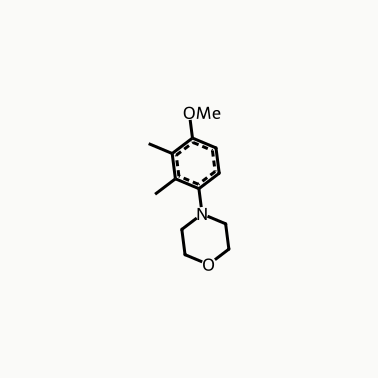 COc1ccc(N2CCOCC2)c(C)c1C